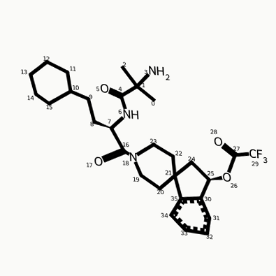 CC(C)(N)C(=O)N[C@H](CCC1CCCCC1)C(=O)N1CCC2(CC1)C[C@@H](OC(=O)C(F)(F)F)c1ccccc12